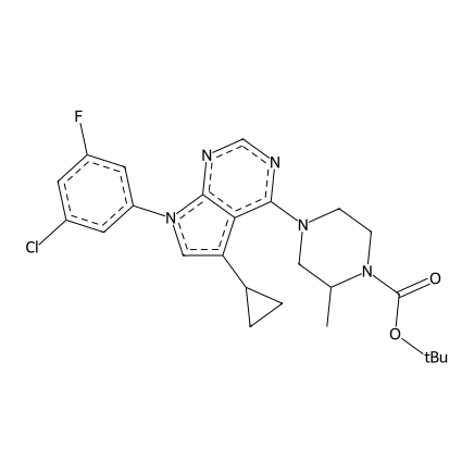 CC1CN(c2ncnc3c2c(C2CC2)cn3-c2cc(F)cc(Cl)c2)CCN1C(=O)OC(C)(C)C